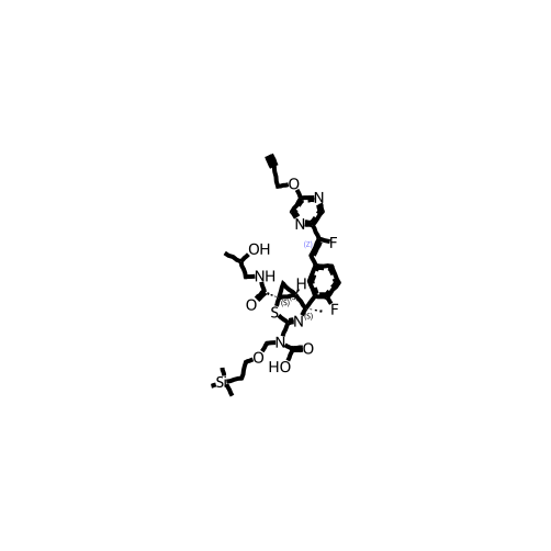 C#CCOc1cnc(/C(F)=C/c2ccc(F)c([C@@]3(C)N=C(N(COCC[Si](C)(C)C)C(=O)O)S[C@@]4(C(=O)NCC(C)O)C[C@H]43)c2)cn1